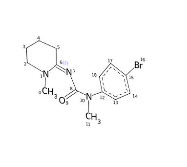 CN1CCCC/C1=N/C(=O)N(C)c1ccc(Br)cc1